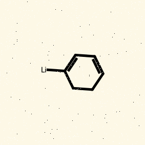 [Li][C]1=CC=CCC1